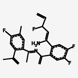 C=CC(F)/C=C(\N)c1cc(F)c(F)cc1C(=C)/N=C(\C)c1cc(C)c(F)cc1C(=C)C